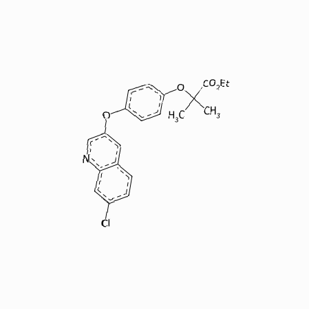 CCOC(=O)C(C)(C)Oc1ccc(Oc2cnc3cc(Cl)ccc3c2)cc1